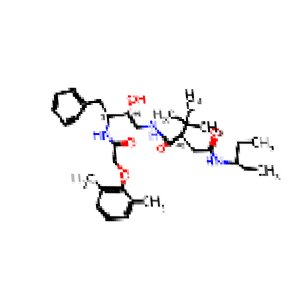 CCC(CC)NC(=O)C[C@@H](C(=O)NC[C@@H](O)[C@H](Cc1ccccc1)NC(=O)COc1c(C)cccc1C)C(C)(C)C